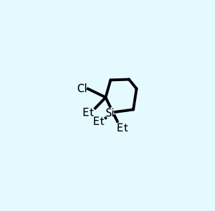 CCC1(Cl)CCCC[Si]1(CC)CC